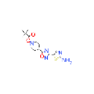 CC(C)(C)C(=O)ON1CCC(c2nc(-c3cnc(N)s3)no2)CC1